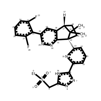 CCS(=O)(=O)Cc1nnc(-c2cccc([C@]34CC[C@@H](c5cc(-c6c(F)cccc6F)nnc53)C4(C)C)n2)[nH]1